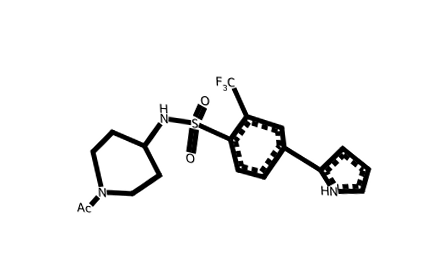 CC(=O)N1CCC(NS(=O)(=O)c2ccc(-c3ccc[nH]3)cc2C(F)(F)F)CC1